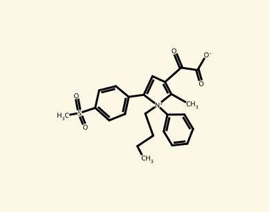 CCCC[N+]1(c2ccccc2)C(c2ccc(S(C)(=O)=O)cc2)=CC(C(=O)C(=O)[O-])=C1C